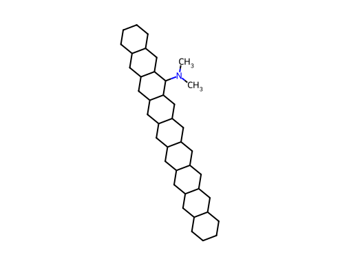 CN(C)C1C2CC3CCCCC3CC2CC2CC3CC4CC5CC6CC7CCCCC7CC6CC5CC4CC3CC21